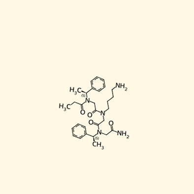 CCC(=O)N(CC(=O)N(CCCCN)CC(=O)N(CC(N)=O)[C@@H](C)c1ccccc1)[C@@H](C)c1ccccc1